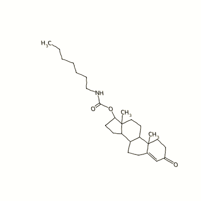 CCCCCCCNC(=O)OC1CCC2C3CCC4=CC(=O)CCC4(C)C3CCC12C